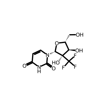 O=c1ccn([C@@H]2O[C@H](CO)[C@@H](O)[C@@]2(O)C(F)(F)F)c(=O)[nH]1